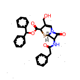 O=C(Cc1ccccc1)NC1C(=O)N2C=C(CO)C(C(=O)OC(c3ccccc3)c3ccccc3)S[C@H]12